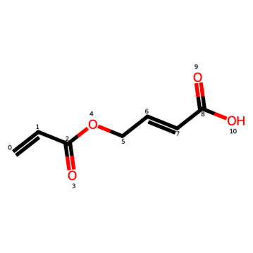 C=CC(=O)OCC=CC(=O)O